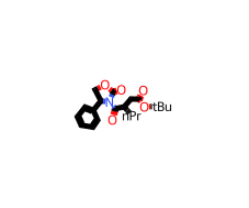 CCCC(CC(=O)OC(C)(C)C)C(=O)N1C(=O)OCC1c1ccccc1